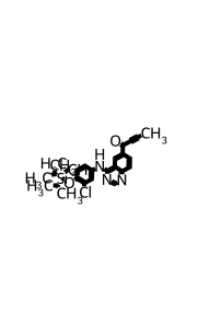 CC#CC(=O)c1ccc2ncnc(Nc3ccc(O[Si](C(C)C)(C(C)C)C(C)C)c(Cl)c3)c2c1